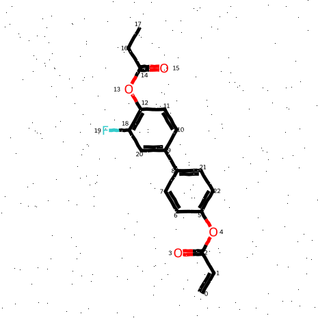 C=CC(=O)Oc1ccc(-c2ccc(OC(=O)CC)c(F)c2)cc1